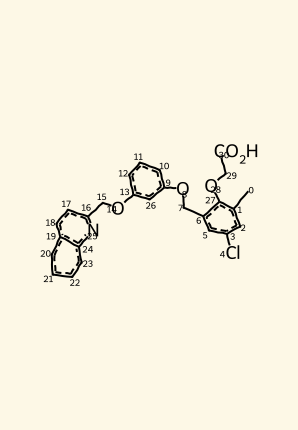 Cc1cc(Cl)cc(COc2cccc(OCc3ccc4ccccc4n3)c2)c1OCC(=O)O